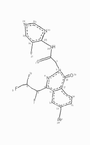 O=C(Cn1nc(C(F)C(F)F)c2cc(Br)ccc2c1=O)Nc1ncncc1F